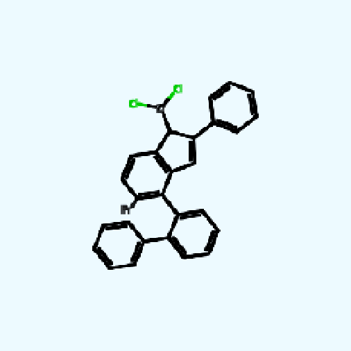 CC(C)c1ccc2c(c1-c1ccccc1-c1ccccc1)C=C(c1ccccc1)[CH]2[Zr]([Cl])[Cl]